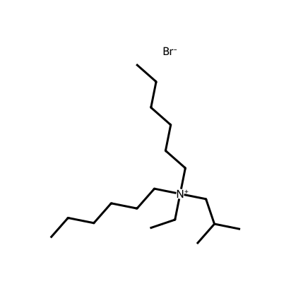 CCCCCC[N+](CC)(CCCCCC)CC(C)C.[Br-]